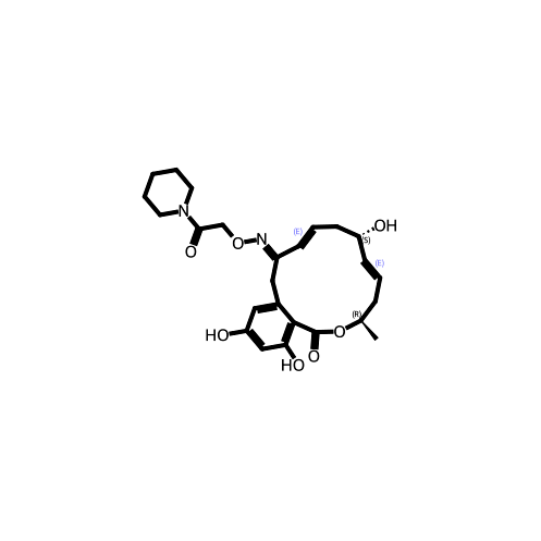 C[C@@H]1C/C=C/[C@@H](O)C/C=C/C(=NOCC(=O)N2CCCCC2)Cc2cc(O)cc(O)c2C(=O)O1